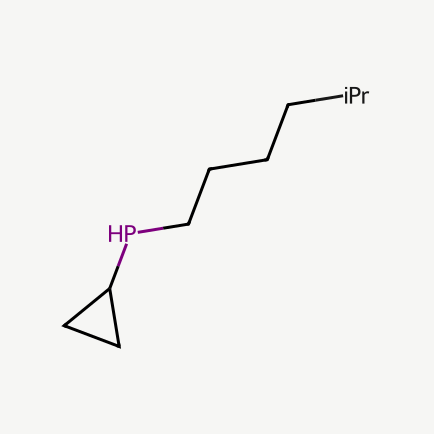 CC(C)CCCCPC1CC1